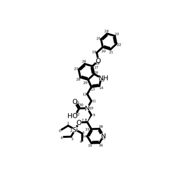 CC[Si](CC)(CC)O[C@@H](CN(CCc1c[nH]c2c(OCc3ccccc3)cccc12)C(=O)O)c1cccnc1